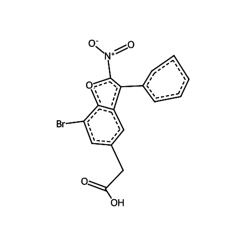 O=C(O)Cc1cc(Br)c2oc([N+](=O)[O-])c(-c3ccccc3)c2c1